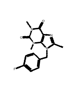 Cc1nc2c(=O)n(C)c(=O)n(C)c2n1Cc1ccc(F)cc1